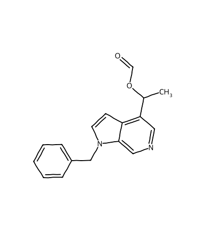 CC(OC=O)c1cncc2c1ccn2Cc1ccccc1